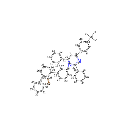 CC(C)(C)c1ccc(-c2cc(-c3ccccc3-c3ccccc3-c3cccc4c3sc3ccccc34)nc(-c3ccccc3)n2)cc1